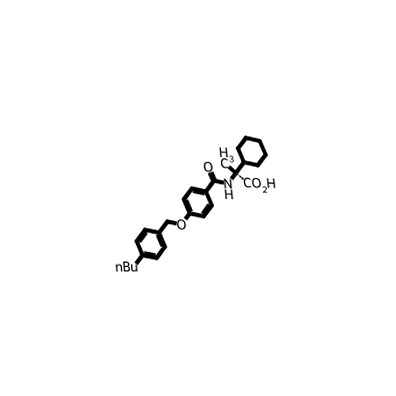 CCCCc1ccc(COc2ccc(C(=O)N[C@](C)(C(=O)O)C3CCCCC3)cc2)cc1